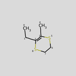 CCC1=C(C)SCCS1